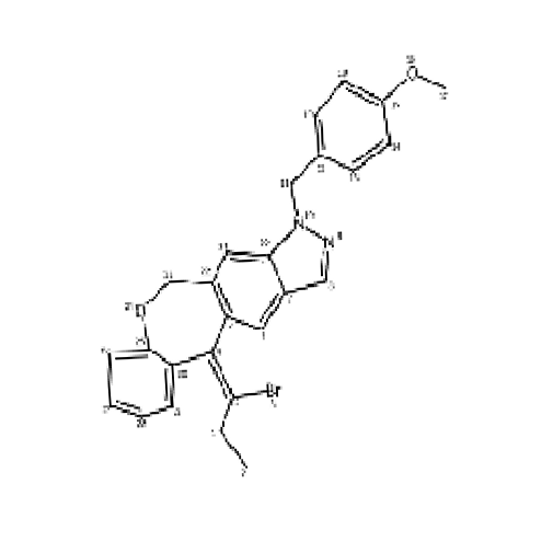 CCC(Br)=C1c2cc3cnn(Cc4ccc(OC)cc4)c3cc2COc2ccccc21